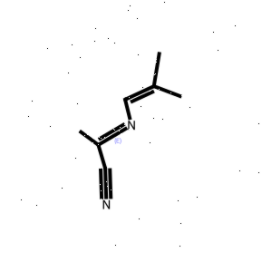 CC(C)=C/N=C(\C)C#N